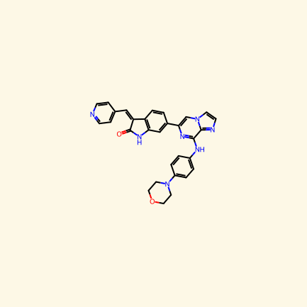 O=C1Nc2cc(-c3cn4ccnc4c(Nc4ccc(N5CCOCC5)cc4)n3)ccc2C1=Cc1ccncc1